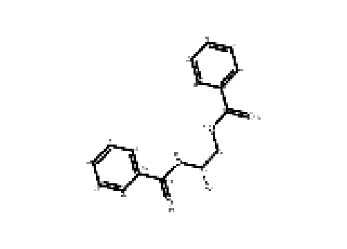 C[C@@H](COC(=O)c1ccccc1)OC(=O)c1ccccc1